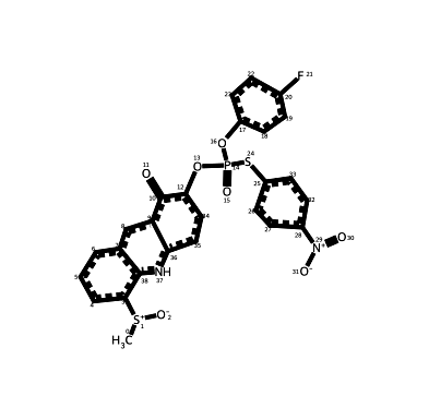 C[S+]([O-])c1cccc2cc3c(=O)c(OP(=O)(Oc4ccc(F)cc4)Sc4ccc([N+](=O)[O-])cc4)ccc-3[nH]c12